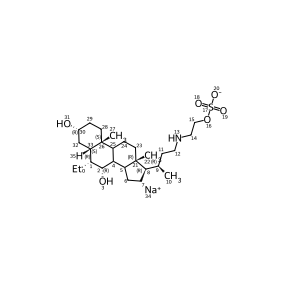 CC[C@H]1[C@@H](O)C2C3CC[C@H]([C@H](C)CCNCCOS(=O)(=O)[O-])[C@@]3(C)CCC2[C@@]2(C)CC[C@@H](O)C[C@@H]12.[Na+]